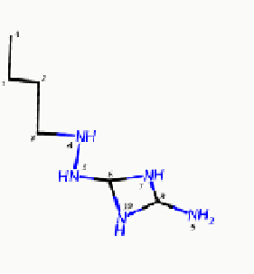 CCCCNNC1NC(N)N1